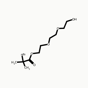 CCCC(C)(C)C(=O)OCCOCCOCCO